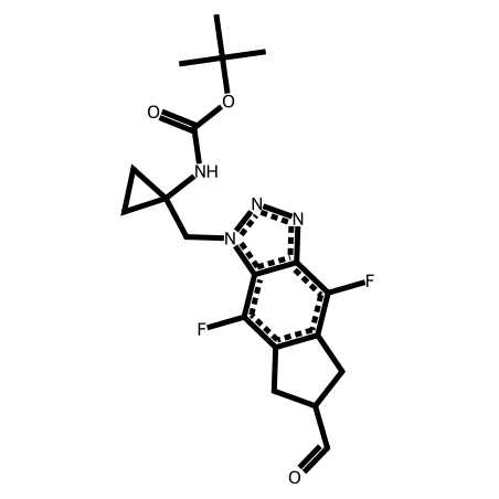 CC(C)(C)OC(=O)NC1(Cn2nnc3c(F)c4c(c(F)c32)CC(C=O)C4)CC1